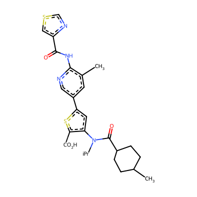 Cc1cc(-c2cc(N(C(=O)C3CCC(C)CC3)C(C)C)c(C(=O)O)s2)cnc1NC(=O)c1cscn1